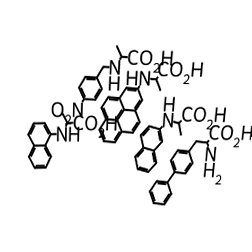 CC(NCc1ccc([N+](=O)[O-])cc1)C(=O)O.CC(Nc1cc2ccc3cccc4ccc(c1)c2c34)C(=O)O.CC(Nc1ccc2ccccc2c1)C(=O)O.CC(Nc1cccc2ccccc12)C(=O)O.NC(Cc1ccc(-c2ccccc2)cc1)C(=O)O